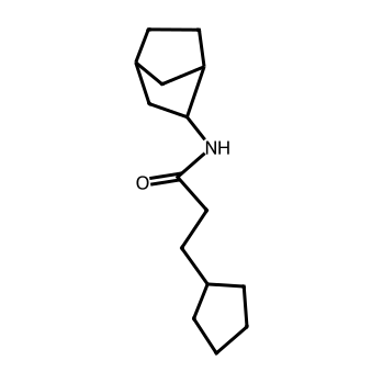 O=C(CCC1CCCC1)NC1CC2CCC1C2